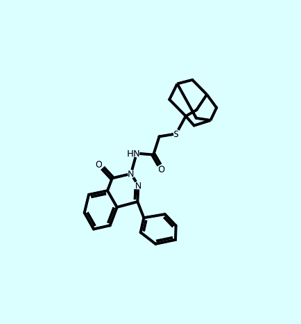 O=C(CSC12CC3CC(CC(C3)C1)C2)Nn1nc(-c2ccccc2)c2ccccc2c1=O